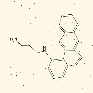 NCCCNc1cccc2ccc3cc4ccccc4cc3c12